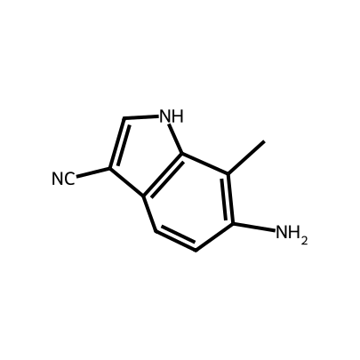 Cc1c(N)ccc2c(C#N)c[nH]c12